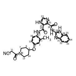 Cc1cc(OC2CCN(C(=O)CC#N)CC2)ccc1NC(=O)c1[nH]cnc1C(=O)Nc1nc2ccccc2[nH]1